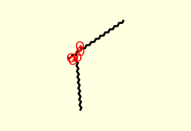 CCCCCCCCCCCCCCCCCCC(=O)OCC(COC)OC(=O)CCCCCCCCCCCCCCCCCC